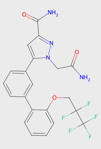 NC(=O)Cn1nc(C(N)=O)cc1-c1cccc(-c2ccccc2OCC(F)(F)C(F)(F)F)c1